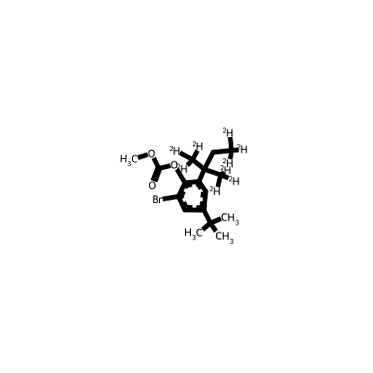 [2H]C([2H])([2H])CC(c1cc(C(C)(C)C)cc(Br)c1OC(=O)OC)(C([2H])([2H])[2H])C([2H])([2H])[2H]